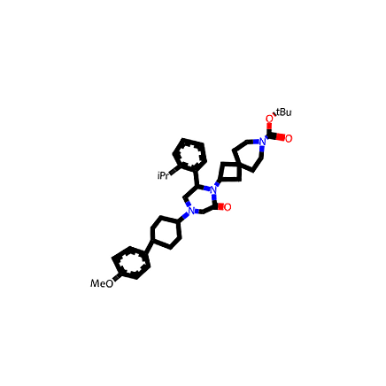 COc1ccc(C2CCC(N3CC(=O)N(C4CC5(CCN(C(=O)OC(C)(C)C)CC5)C4)C(c4ccccc4C(C)C)C3)CC2)cc1